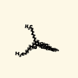 CCCCCCCCCc1cccc(O)c1CCCCCCCCC.[O-]P([O-])(=S)[S-].[O-]P([O-])(=S)[S-].[Zn+2].[Zn+2].[Zn+2]